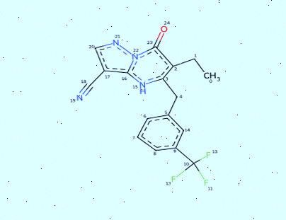 CCc1c(Cc2cccc(C(F)(F)F)c2)[nH]c2c(C#N)cnn2c1=O